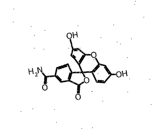 NC(=O)c1ccc2c(c1)C(=O)OC21c2ccc(O)cc2Oc2cc(O)ccc21